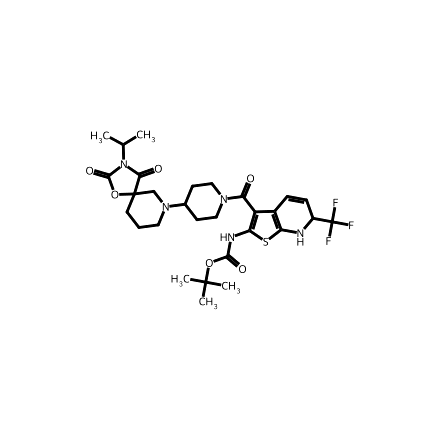 CC(C)N1C(=O)OC2(CCCN(C3CCN(C(=O)c4c(NC(=O)OC(C)(C)C)sc5c4C=CC(C(F)(F)F)N5)CC3)C2)C1=O